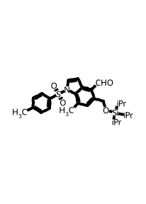 Cc1ccc(S(=O)(=O)n2ccc3c(C=O)c(CO[Si](C(C)C)(C(C)C)C(C)C)cc(C)c32)cc1